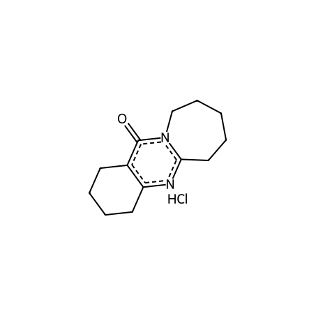 Cl.O=c1c2c(nc3n1CCCCC3)CCCC2